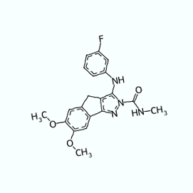 CNC(=O)n1nc2c(c1Nc1cccc(F)c1)Cc1cc(OC)c(OC)cc1-2